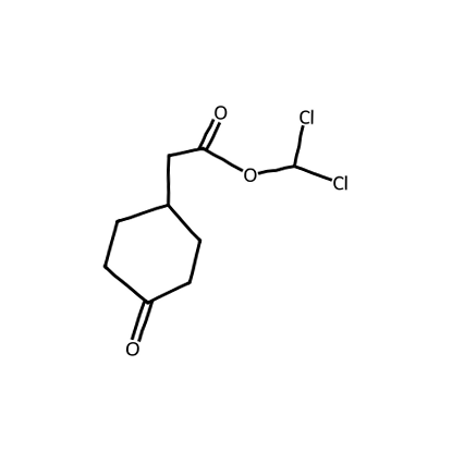 O=C1CCC(CC(=O)OC(Cl)Cl)CC1